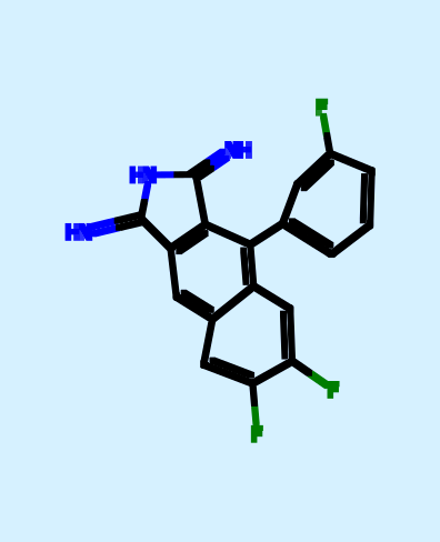 N=C1NC(=N)c2c1cc1cc(F)c(F)cc1c2-c1cccc(F)c1